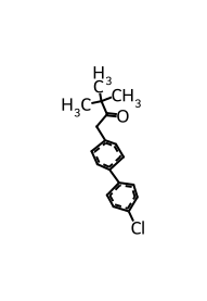 CC(C)(C)C(=O)Cc1ccc(-c2ccc(Cl)cc2)cc1